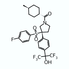 C[C@H]1CC[C@H](C(=O)N2CC[C@](c3ccc(C(O)(C(F)(F)F)C(F)(F)F)cc3)(S(=O)(=O)c3ccc(F)cc3)C2)CC1